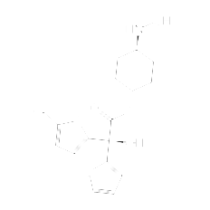 CN[C@H]1CC[C@H](OC(=O)[C@](O)(c2cccs2)c2ccc(Cl)s2)CC1